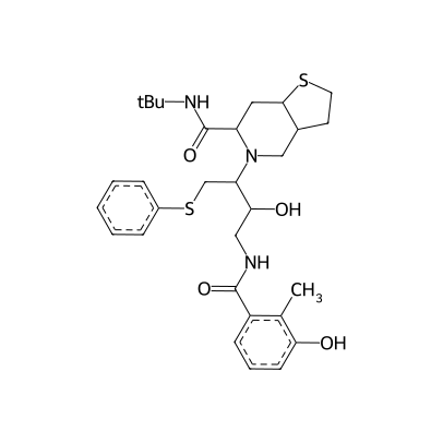 Cc1c(O)cccc1C(=O)NCC(O)C(CSc1ccccc1)N1CC2CCSC2CC1C(=O)NC(C)(C)C